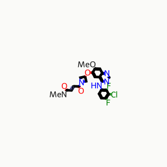 CNC(=O)/C=C/C(=O)N1CC(Oc2cc3c(Nc4ccc(F)c(Cl)c4F)ncnc3cc2OC)C1